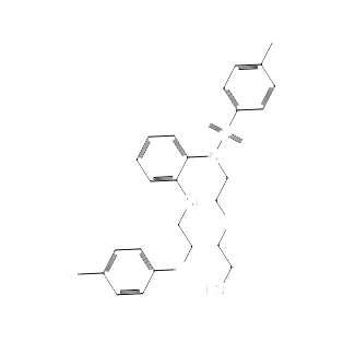 Cc1ccc(S(=O)(=O)N(CCOCCN)c2ccccc2NCCOc2ccc(Cl)cc2)cc1